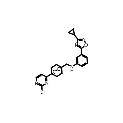 Clc1nccc(C23CCC(CNc4cccc(-c5nc(C6CC6)no5)c4)(CC2)CC3)n1